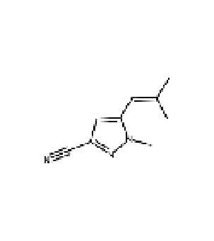 CC(C)=Cc1cc(C#N)nn1C